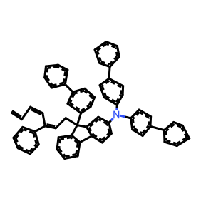 C=C/C=C\C(=C/CC1(c2cccc(-c3ccccc3)c2)c2ccccc2-c2ccc(N(c3ccc(-c4ccccc4)cc3)c3ccc(-c4ccccc4)cc3)cc21)c1ccccc1